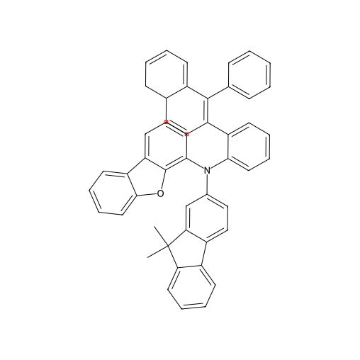 CC1(C)c2ccccc2-c2ccc(N(c3ccccc3C3=C(c4ccccc4)C4=CC=CCC4C=C3)c3cccc4c3oc3ccccc34)cc21